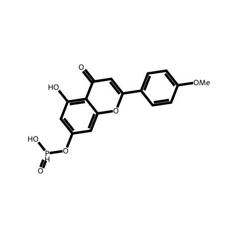 COc1ccc(-c2cc(=O)c3c(O)cc(O[PH](=O)O)cc3o2)cc1